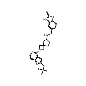 O=c1[nH]c2cc(CNC3CCC4(C3)CN(c3ncnc5sc(CC(F)(F)F)cc35)C4)ccc2o1